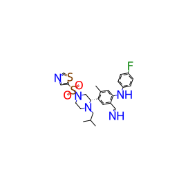 Cc1cc(Nc2ccc(F)cc2)c(C=N)cc1[C@H]1CN(S(=O)(=O)c2cncs2)CCN1CC(C)C